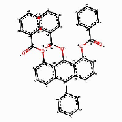 O=C(Oc1cccc2c(-c3ccccc3)c3cccc(OC(=O)c4ccccc4)c3c(OC(=O)c3ccccc3)c12)c1ccccc1